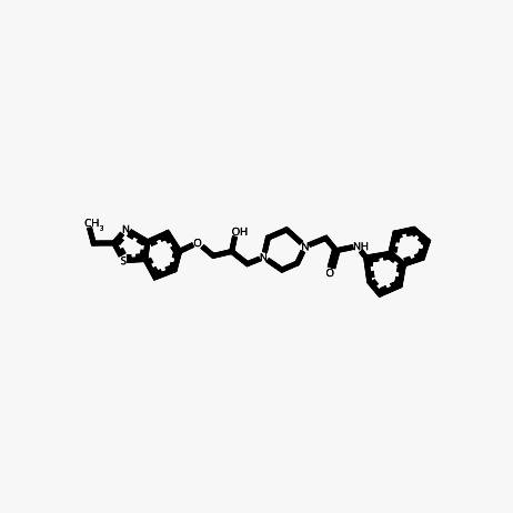 CCc1nc2cc(OCC(O)CN3CCN(CC(=O)Nc4cccc5ccccc45)CC3)ccc2s1